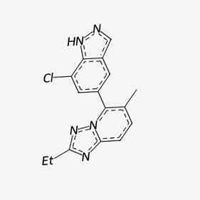 CCc1nc2ccc(C)c(-c3cc(Cl)c4[nH]ncc4c3)n2n1